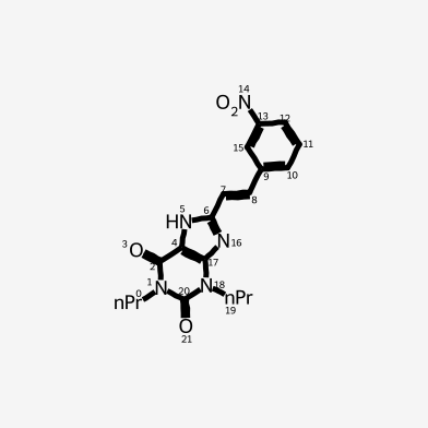 CCCn1c(=O)c2[nH]c(C=Cc3cccc([N+](=O)[O-])c3)nc2n(CCC)c1=O